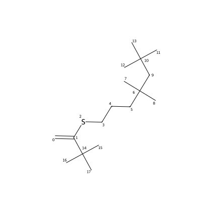 C=C(SCCCC(C)(C)CC(C)(C)C)C(C)(C)C